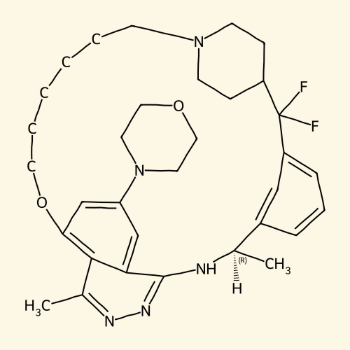 Cc1nnc2c3cc(N4CCOCC4)cc(c13)OCCCCCCN1CCC(CC1)C(F)(F)c1cccc(c1)[C@@H](C)N2